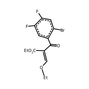 CCO/C=C(\C(=O)OCC)C(=O)c1cc(F)c(F)cc1Br